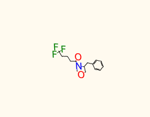 O=C(CCCC(F)(F)F)N1COCC1Cc1ccccc1